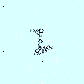 COc1cccc2c1c(NS(=O)(=O)c1ccc(Cl)s1)nn2Cc1cccc(CNC(=O)c2ccccc2C(=O)O)c1